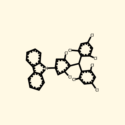 Clc1cc(Cl)c(C(c2c(Cl)cc(Cl)cc2Cl)c2c(Cl)cc(-n3c4ccccc4c4ccccc43)cc2Cl)c(Cl)c1